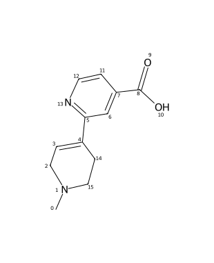 CN1CC=C(c2cc(C(=O)O)ccn2)CC1